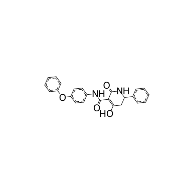 O=C(Nc1ccc(Oc2ccccc2)cc1)C1=C(O)CC(c2ccccc2)NC1=O